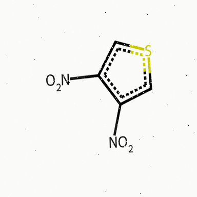 O=[N+]([O-])c1cscc1[N+](=O)[O-]